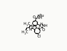 C/C=C\c1nc(/C2=C/C=C(/Cl)CC=CC2C2=CCC=C(C(=O)NCCCC)C=C2c2n[nH]c(=O)o2)[nH]c1C